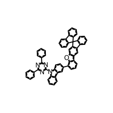 c1ccc(-c2nc(-c3ccccc3)nc(-n3c4ccccc4c4cc(-c5cccc6c5oc5cc7c(cc56)-c5ccccc5C75c6ccccc6-c6ccccc65)ccc43)n2)cc1